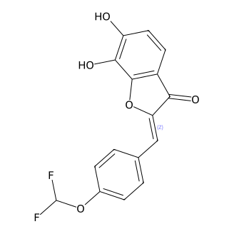 O=C1/C(=C/c2ccc(OC(F)F)cc2)Oc2c1ccc(O)c2O